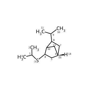 CC(C)SC1C[C@H]2CC(C(C)C)C1C2